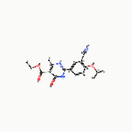 CCOC(=O)c1c(C)nc(-c2ccc(OC(C)C)c(C#N)c2)[nH]c1=O